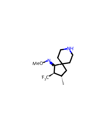 CON=C1[C@H](C(F)(F)F)[C@@H](C)CC12CCNCC2